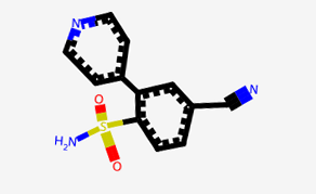 N#Cc1ccc(S(N)(=O)=O)c(-c2ccncc2)c1